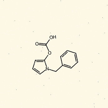 O=C(O)Oc1cccn1Cc1ccccc1